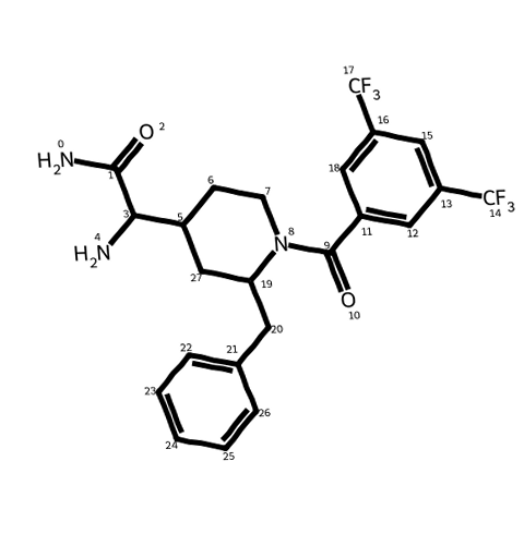 NC(=O)C(N)C1CCN(C(=O)c2cc(C(F)(F)F)cc(C(F)(F)F)c2)C(Cc2ccccc2)C1